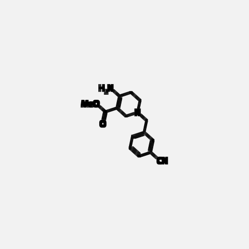 COC(=O)C1=C(N)CCN(Cc2cccc(C#N)c2)C1